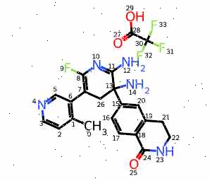 Cc1ccncc1C1=C(F)N=C(N)C(N)(c2ccc3c(c2)CCNC3=O)C1.O=C(O)C(F)(F)F